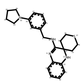 c1cc(CNC2=Nc3ccccc3NC23CCSCC3)cc(N2CCCC2)c1